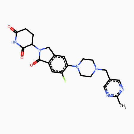 Cc1ncc(CN2CCN(c3cc4c(cc3F)C(=O)N(C3CCC(=O)NC3=O)C4)CC2)cn1